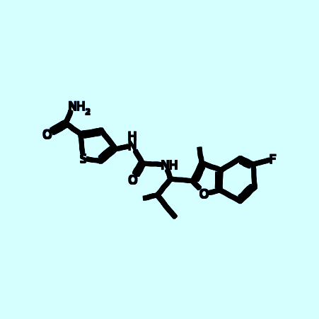 Cc1c(C(NC(=O)Nc2csc(C(N)=O)c2)C(C)C)oc2ccc(F)cc12